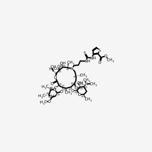 CC[C@H]1OC(=O)[C@H](C)[C@@H](O[C@@H](CCOC)O[C@@H](C)[C@@H](C)O)[C@H](C)[C@@H](O[C@@H]2O[C@H](C)C[C@H](N(C)C)[C@H]2O)[C@](C)(O)C[C@@H](C)CN(CCCNC(=S)Nc2ccsc2C(=O)OC)[C@H](C)[C@@H](O)[C@]1(C)O